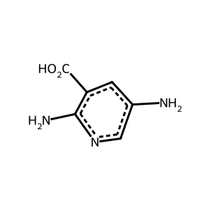 Nc1cnc(N)c(C(=O)O)c1